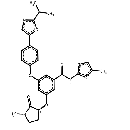 Cc1cnc(NC(=O)c2cc(Oc3ccc(-c4nnc(C(C)C)o4)cc3)cc(O[C@H]3CCN(C)C3=O)c2)s1